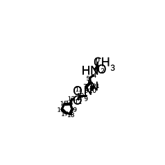 CC(=O)NCCc1cn(CC(=O)OCc2ccccc2)cn1